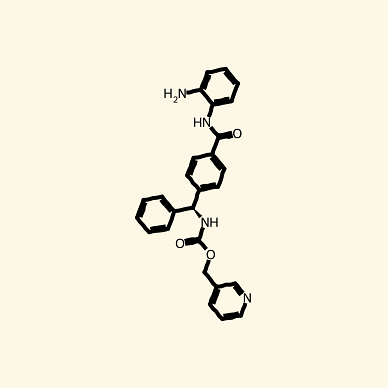 Nc1ccccc1NC(=O)c1ccc([C@@H](NC(=O)OCc2cccnc2)c2ccccc2)cc1